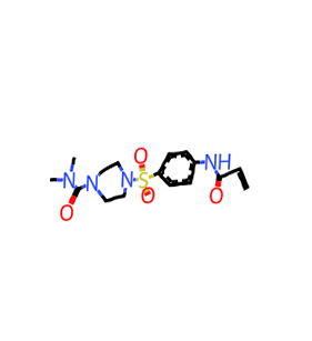 C=CC(=O)Nc1ccc(S(=O)(=O)N2CCN(C(=O)N(C)C)CC2)cc1